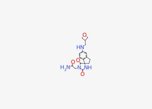 NC(=O)CN1C(=O)NC2(CCc3cc(NCC4COC4)ccc32)C1=O